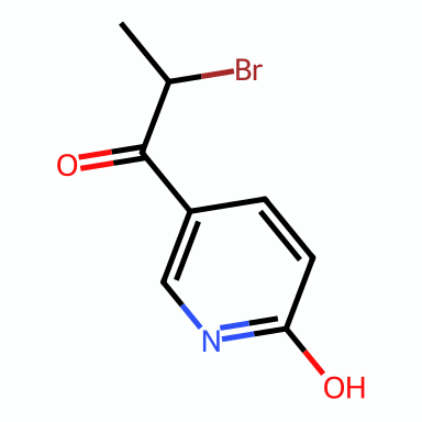 CC(Br)C(=O)c1ccc(O)nc1